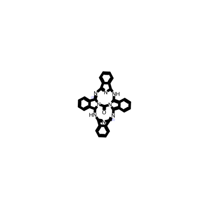 O=C1N2/C3=N\C4=NC(Nc5c6ccccc6c(n51)/N=C1\N=C(NC2c2ccccc23)c2ccccc21)c1ccccc14